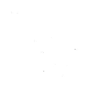 CCCCNC(=S)Nc1cc(Br)cc(F)c1O